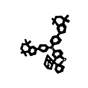 CC1(C)CCC(C)(C)c2cc(-c3ccc(N(c4ccc(-c5ccc6c(c5)C(C)(C)CCC6(C)C)cc4)c4ccc5c(c4)C4(c6ccccc6O5)C5CC6CC7CC4C75C6)cc3)ccc21